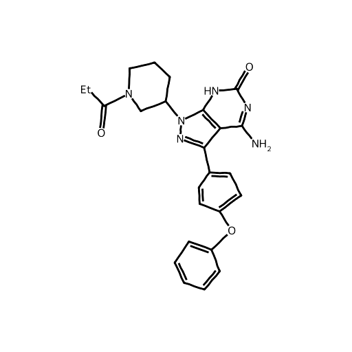 CCC(=O)N1CCCC(n2nc(-c3ccc(Oc4ccccc4)cc3)c3c(N)nc(=O)[nH]c32)C1